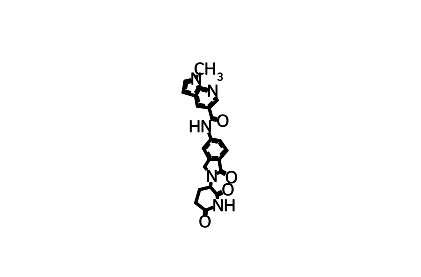 Cn1ccc2cc(C(=O)Nc3ccc4c(c3)CN(C3CCC(=O)NC3=O)C4=O)cnc21